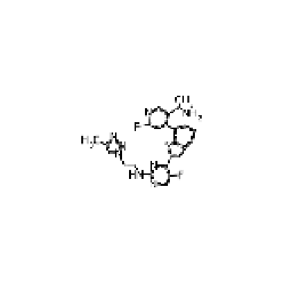 Cc1cn(CCNc2ncc(F)c(-c3cc4cccc(-c5cc(F)ncc5C(C)N)c4s3)n2)nn1